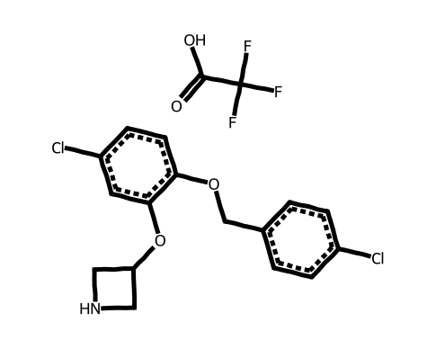 Clc1ccc(COc2ccc(Cl)cc2OC2CNC2)cc1.O=C(O)C(F)(F)F